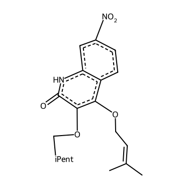 CCCC(C)COc1c(OCC=C(C)C)c2ccc([N+](=O)[O-])cc2[nH]c1=O